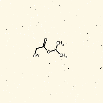 CCCCC(=O)ON(C)C